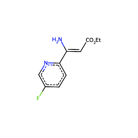 CCOC(=O)C=C(N)c1ccc(F)cn1